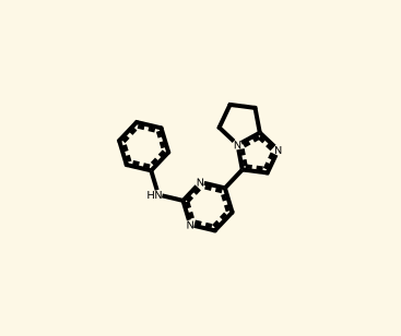 c1ccc(Nc2nccc(-c3cnc4n3CCC4)n2)cc1